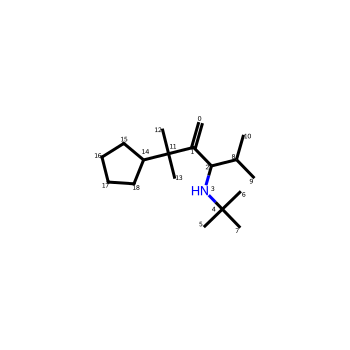 C=C(C(NC(C)(C)C)C(C)C)C(C)(C)C1CCCC1